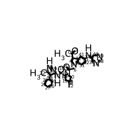 CC(=O)c1cn(CC(=O)N2C[C@H](F)C[C@H]2C(=O)Nc2n[nH]c(C)c2-c2ccccc2)c2ccc(Nc3cncnc3)cc12